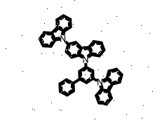 c1ccc(-c2cc(-n3c4ccccc4c4ccccc43)cc(-n3c4ccccc4c4cc(-n5c6ccccc6c6ccccc65)ccc43)c2)cc1